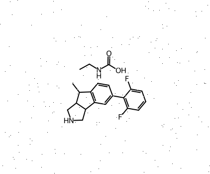 CC1c2ccc(-c3c(F)cccc3F)cc2C2CNCC12.CCNC(=O)O